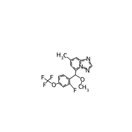 COC(c1ccc(OC(F)(F)F)cc1F)c1cc(C)cc2ncnn12